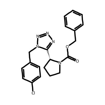 O=C(OCc1ccccc1)N1CCC[C@@H]1c1nnnn1Cc1ccc(Cl)cc1